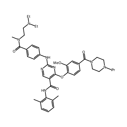 CCN(CC)CCN(C)C(=O)c1ccc(Nc2ncc(C(=O)Nc3c(C)cccc3C)c(Oc3ccc(C(=O)N4CCN(C(C)C)CC4)cc3OC)n2)cc1